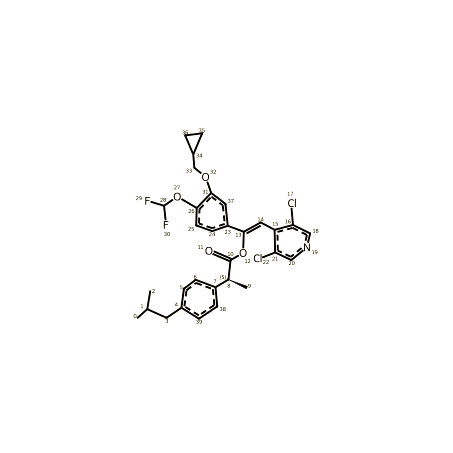 CC(C)Cc1ccc([C@H](C)C(=O)OC(=Cc2c(Cl)cncc2Cl)c2ccc(OC(F)F)c(OCC3CC3)c2)cc1